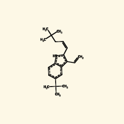 C=Cc1c(/C=C\CC(C)(C)C)[nH]c2ccc(C(C)(C)C)cc12